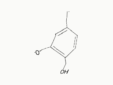 [CH2]c1ccc(O)c([O])c1